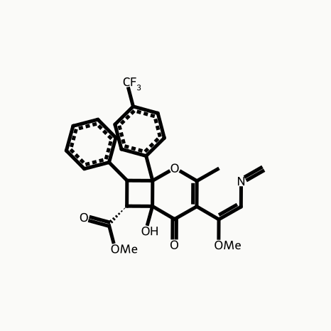 C=N/C=C(/OC)C1=C(C)OC2(c3ccc(C(F)(F)F)cc3)C(c3ccccc3)[C@@H](C(=O)OC)C2(O)C1=O